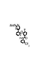 CNc1nccc(-c2cccnc2Oc2cc(C(=O)Nc3cccc(C(F)(F)F)c3)ccc2F)n1